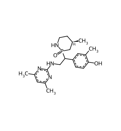 Cc1cc(C)nc(NCC(c2ccc(O)c(C)c2)P2(=O)C[C@H](C)CCN2)n1